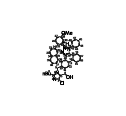 CCCCc1nc(Cl)c(CO)n1Cc1ccc(-c2ccccc2C2=NN(c3c(-c4ccc(OC)cc4)ccc4ccccc34)N(C)N2c2ccccc2)cc1